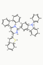 c1ccc(-c2ccccc2-c2cc(-c3cc4ccccc4s3)nc(-c3ccc4c(c3)c3ccccc3n4-c3ccccc3)n2)cc1